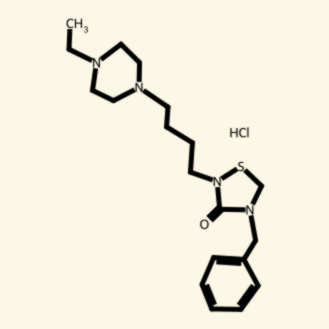 CCN1CCN(CCCCN2SCN(Cc3ccccc3)C2=O)CC1.Cl